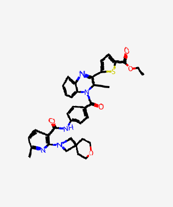 CCOC(=O)c1ccc(C2=Nc3ccccc3N(C(=O)c3ccc(NC(=O)c4ccc(C)nc4N4CC5(CCOCC5)C4)cc3)C2C)s1